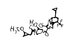 COC1CC1CC(C)N1CCN(C(=O)c2nc3c(C(F)(F)F)cc(C4CC4)cn3c2Cl)CC1=O